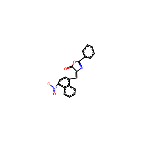 O=C1OC(c2ccccc2)=N/C1=C/c1ccc([N+](=O)[O-])c2ccccc12